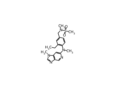 CCc1cc(CN(C)S(C)(=O)=O)ccc1N(C)c1cc2c(cn1)ncn2C